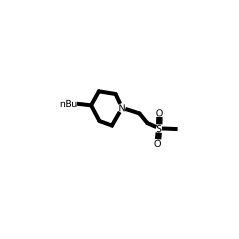 CCCCC1CCN(CCS(C)(=O)=O)CC1